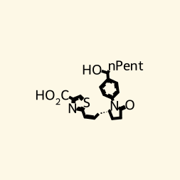 CCCCCC(O)c1ccc(N2C(=O)CC[C@@H]2C/C=C\c2nc(C(=O)O)cs2)cc1